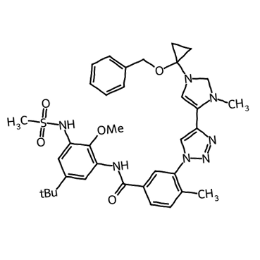 COc1c(NC(=O)c2ccc(C)c(-n3cc(C4=CN(C5(OCc6ccccc6)CC5)CN4C)nn3)c2)cc(C(C)(C)C)cc1NS(C)(=O)=O